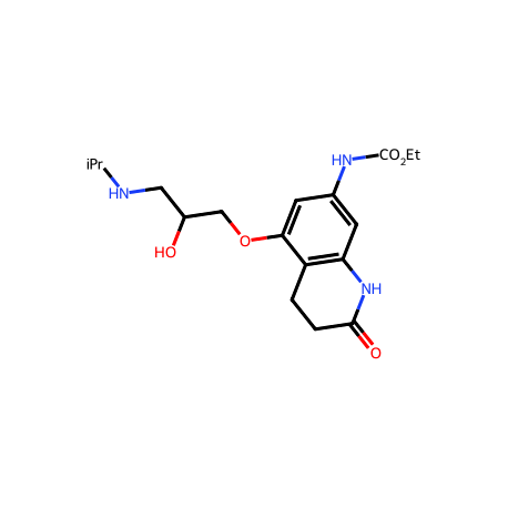 CCOC(=O)Nc1cc2c(c(OCC(O)CNC(C)C)c1)CCC(=O)N2